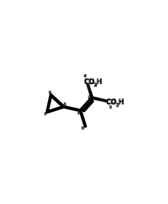 CC(=C(C(=O)O)C(=O)O)C1CC1